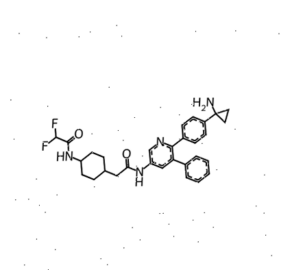 NC1(c2ccc(-c3ncc(NC(=O)CC4CCC(NC(=O)C(F)F)CC4)cc3-c3ccccc3)cc2)CC1